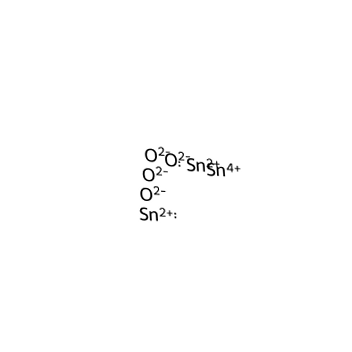 [O-2].[O-2].[O-2].[O-2].[Sn+2].[Sn+2].[Sn+4]